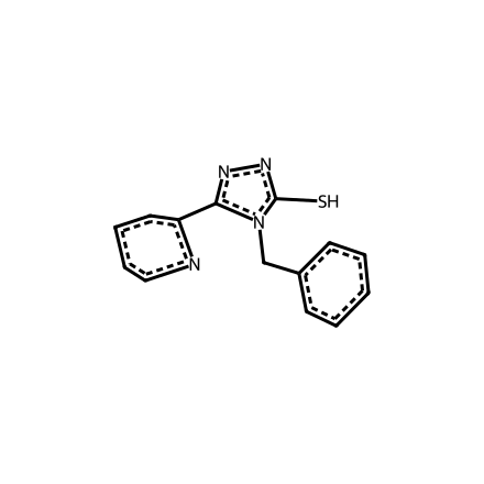 Sc1nnc(-c2ccccn2)n1Cc1ccccc1